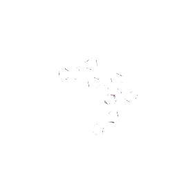 c1cc(-c2cccc3oc4c5ccccc5ccc4c23)cc(N(c2ccc(-c3cccc4c3sc3ccccc34)cc2)c2ccccc2-n2c3ccccc3c3ccccc32)c1